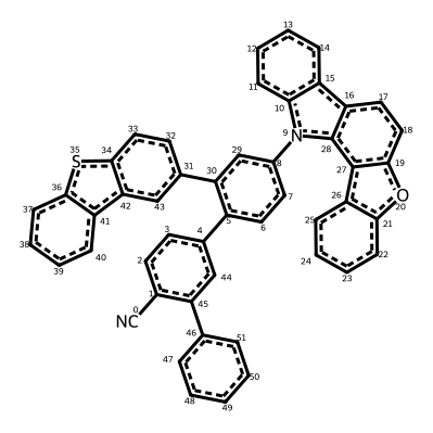 N#Cc1ccc(-c2ccc(-n3c4ccccc4c4ccc5oc6ccccc6c5c43)cc2-c2ccc3sc4ccccc4c3c2)cc1-c1ccccc1